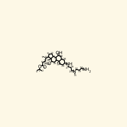 CC(C)OC(=O)CC[C@@H](C)C1CCC2C3C(C[C@H](O)[C@@]21C)[C@@]1(C)CC[C@H](NCCCN(C)CCCN)CC1C[C@H]3O